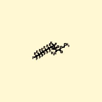 C=C(C(=O)OCC)S(=O)(=O)C(F)(F)C(F)(F)C(F)(F)C(F)(F)C(F)(F)C(F)(F)C(F)(F)C(F)(F)F